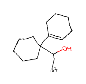 CCCC(O)C1(C2=CCCCC2)CCCCC1